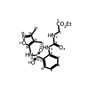 CCOC(=O)CNC(=O)Nc1ccccc1S(=O)(=O)Nc1onc(C)c1C